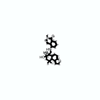 Cn1ncc2c(NCC3(O)C4=CC=C5OCC=C5C4C(C)(C)CC3(O)C(F)(F)F)cccc2c1=O